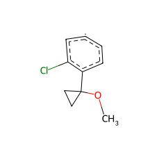 COC1(c2cc[c]cc2Cl)CC1